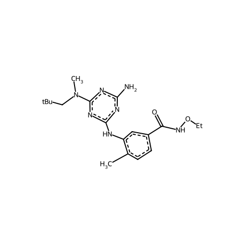 CCONC(=O)c1ccc(C)c(Nc2nc(N)nc(N(C)CC(C)(C)C)n2)c1